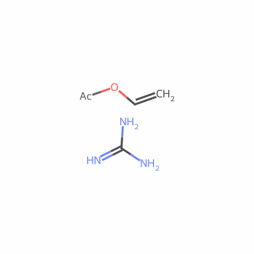 C=COC(C)=O.N=C(N)N